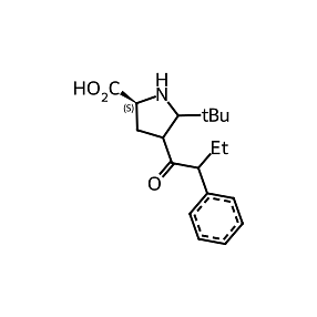 CCC(C(=O)C1C[C@@H](C(=O)O)NC1C(C)(C)C)c1ccccc1